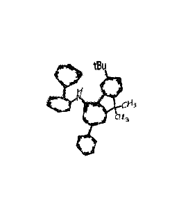 CC(C)(C)c1ccc2c(c1)-c1c(Nc3ccccc3-c3ccccc3)cc(-c3ccccc3)cc1C2(C)C